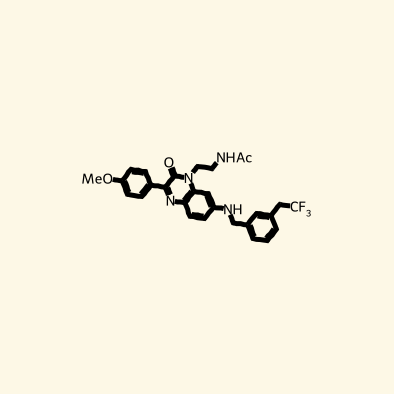 COc1ccc(-c2nc3ccc(NCc4cccc(CC(F)(F)F)c4)cc3n(CCNC(C)=O)c2=O)cc1